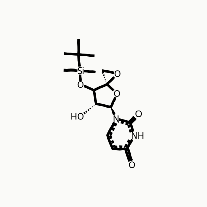 CC(C)(C)[Si](C)(C)OC1[C@@H](O)[C@H](n2ccc(=O)[nH]c2=O)O[C@@]12CO2